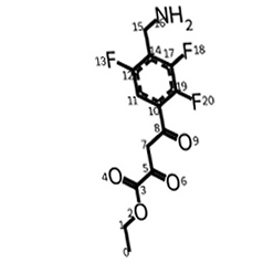 CCOC(=O)C(=O)CC(=O)c1cc(F)c(CN)c(F)c1F